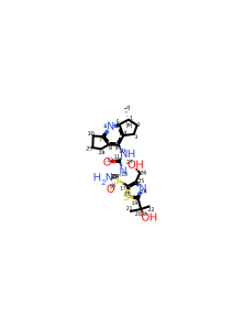 C[C@@H]1CCc2c1nc1c(c2NC(=O)N=[S@](N)(=O)c2sc(C(C)(C)O)nc2CO)CCC1